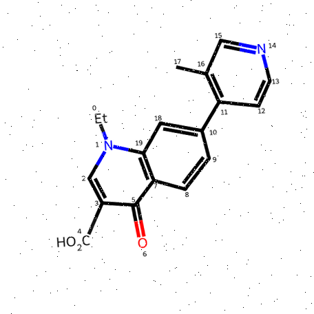 CCn1cc(C(=O)O)c(=O)c2ccc(-c3ccncc3C)cc21